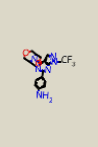 Nc1ccc(-c2nc(N3C4COCC3COC4)c3cnn(CC(F)(F)F)c3n2)cc1